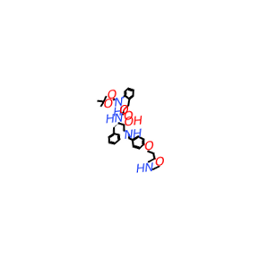 CC(C)(C)OC(=O)Nc1ccccc1COC(=O)N[C@@H](Cc1ccccc1)[C@@H](O)CNCc1ccc(OCCC2CNCCO2)cc1